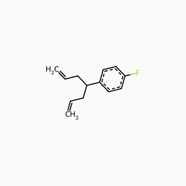 C=CCC(CC=C)c1ccc(F)cc1